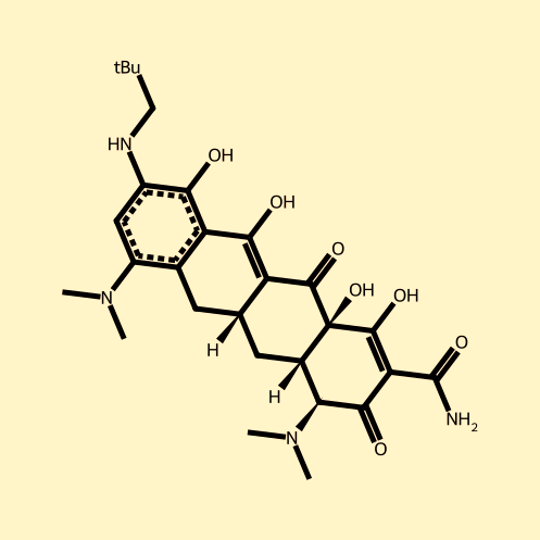 CN(C)c1cc(NCC(C)(C)C)c(O)c2c1C[C@H]1C[C@H]3[C@H](N(C)C)C(=O)C(C(N)=O)=C(O)[C@@]3(O)C(=O)C1=C2O